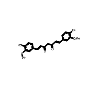 COc1cc(C=CC(=O)CC(=O)C=Cc2ccc(O)c(OC(C)C)c2)ccc1O